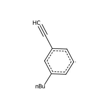 C#Cc1c[c]cc(CCCC)c1